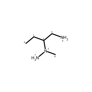 CCC(CN)N(C)N